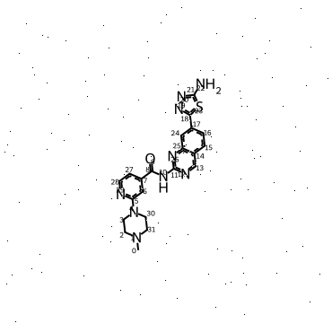 CN1CCN(c2cc(C(=O)Nc3ncc4ccc(-c5nnc(N)s5)cc4n3)ccn2)CC1